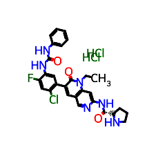 CCn1c(=O)c(-c2cc(NC(=O)Nc3ccccc3)c(F)cc2Cl)cc2cnc(NC(=O)[C@@H]3CCCN3)cc21.Cl.Cl